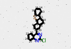 Clc1nc(-c2ccc3c(ccc4c5ccccc5sc34)c2)c2ccccc2n1